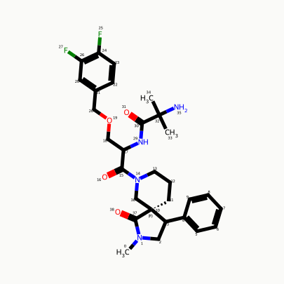 CN1CC(c2ccccc2)[C@@]2(CCCN(C(=O)C(COCc3ccc(F)c(F)c3)NC(=O)C(C)(C)N)C2)C1=O